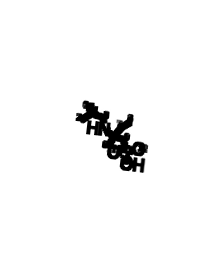 C=C(C)CNC(C)(CC)CS(=O)(=O)O